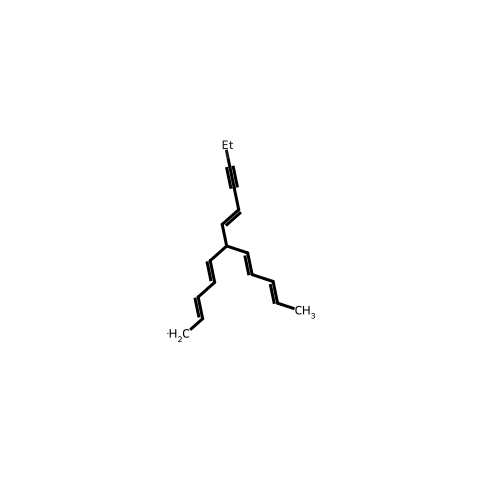 [CH2]C=CC=CC(C=CC#CCC)C=CC=CC